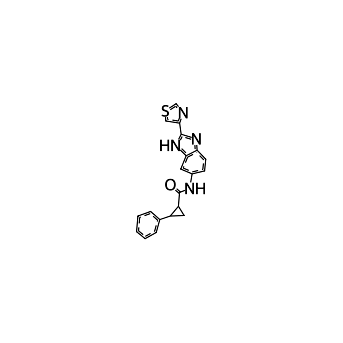 O=C(Nc1ccc2nc(-c3cscn3)[nH]c2c1)C1CC1c1ccccc1